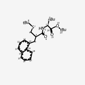 CCCC[C@H](NC(=O)C(CSC(C)(C)C)Cc1cccc2ccccc12)C(=O)OC(C)(C)C